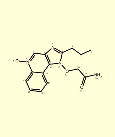 CCCc1nc2c[n+]([O-])c3ccccc3c2n1OCC(N)=O